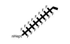 C=CC(F)(F)C(F)(F)C(F)(F)C(F)(F)C(F)(F)C(F)(F)C(F)(F)C(F)(F)CCCCCCC